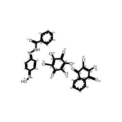 O=C(NN=C1C=CC(=NO)C=C1)c1ccccc1.O=C1C(Cl)=C(Cl)C(=O)C(Cl)=C1Cl.O=C1C(Cl)=C(Cl)C(=O)c2ccccc21